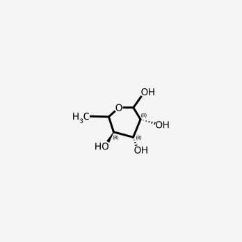 CC1OC(O)[C@H](O)[C@H](O)[C@H]1O